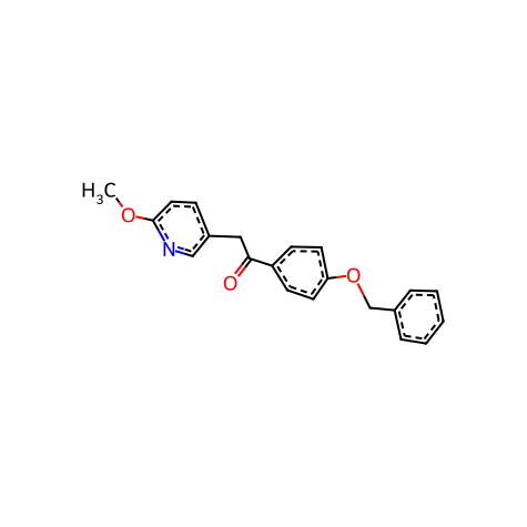 COc1ccc(CC(=O)c2ccc(OCc3ccccc3)cc2)cn1